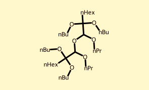 CCCCCCC(OCCCC)(OCCCC)C(OCCC)OC(OCCC)C(CCCCCC)(OCCCC)OCCCC